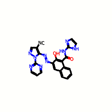 [C-]#[N+]c1cnn(-c2ncccn2)c1/N=N/c1cc2ccccc2c(C(=O)Nc2ncc[nH]2)c1O